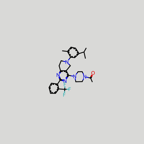 CC(=O)N1CCN(c2nc(-c3ccccc3C(F)(F)F)nc3c2CN(c2cc(C(C)C)ccc2C)CC3)CC1